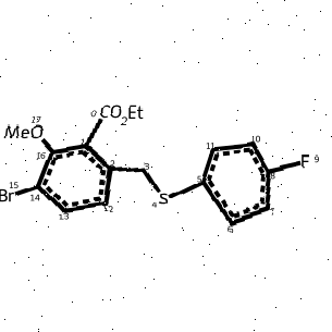 CCOC(=O)c1c(CSc2ccc(F)cc2)ccc(Br)c1OC